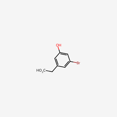 O=C(O)Cc1cc(O)cc(Br)c1